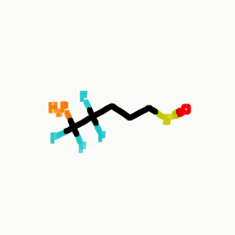 O=[S+]CCCC(F)(F)C(F)(F)P